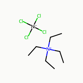 CC[N+](CC)(CC)CC.[Cl][Ni-]([Cl])([Cl])[Cl]